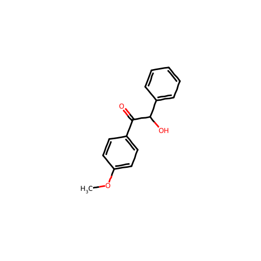 COc1ccc(C(=O)C(O)c2ccccc2)cc1